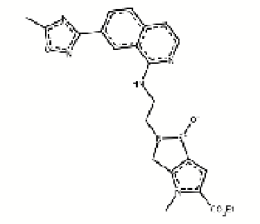 CCOC(=O)c1cc2c(n1C)CN(CCNc1nccc3ccc(-c4noc(C)n4)cc13)[S+]2[O-]